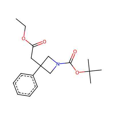 CCOC(=O)CC1(c2ccccc2)CN(C(=O)OC(C)(C)C)C1